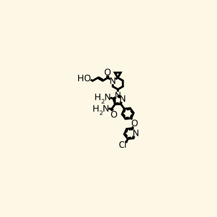 NC(=O)c1c(-c2ccc(Oc3ccc(Cl)cn3)cc2)nn(C2CCC3(CC3)N(C(=O)/C=C/CO)C2)c1N